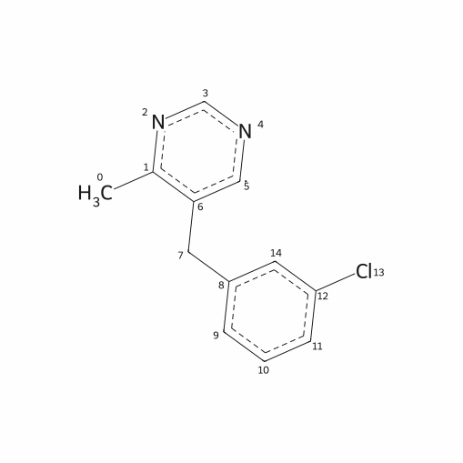 Cc1ncn[c]c1Cc1cccc(Cl)c1